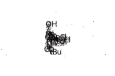 CC(C)(C)OC(=O)N1CC2CC(c3nc(CCCO)cs3)=C(C(=O)N(Cc3cccc(Cl)c3Cl)C3CC3)C(C1)N2C(=O)OC(C)(C)C